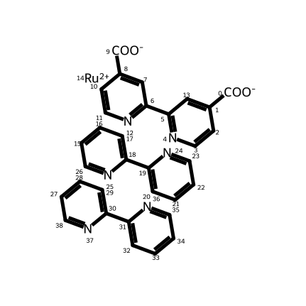 O=C([O-])c1ccnc(-c2cc(C(=O)[O-])ccn2)c1.[Ru+2].c1ccc(-c2ccccn2)nc1.c1ccc(-c2ccccn2)nc1